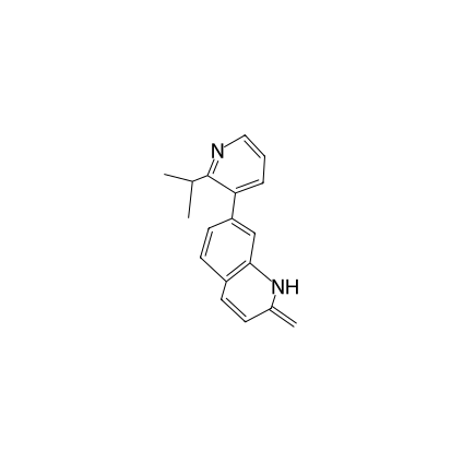 C=C1C=Cc2ccc(-c3cccnc3C(C)C)cc2N1